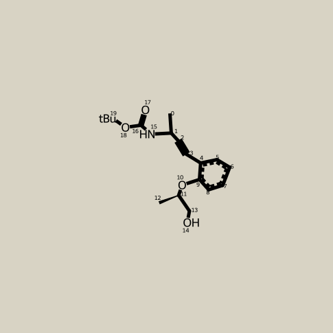 CC(C#Cc1ccccc1O[C@H](C)CO)NC(=O)OC(C)(C)C